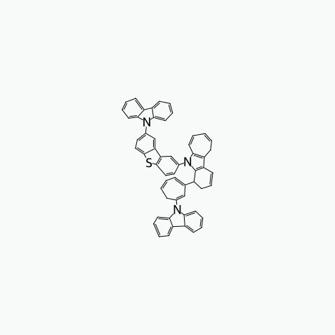 C1=CCC(n2c3ccccc3c3ccccc32)=CC(C2CC=Cc3c4c(n(-c5ccc6sc7ccc(-n8c9ccccc9c9ccccc98)cc7c6c5)c32)C=CC=CC4)=C1